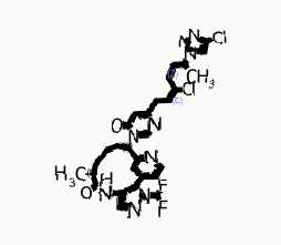 CC(/C=C\C(Cl)=C/Cc1cc(=O)n([C@H]2CCC[C@@H](C)C(=O)Nc3cnn(C(F)F)c3-c3ccnc2c3)cn1)n1cc(Cl)nn1